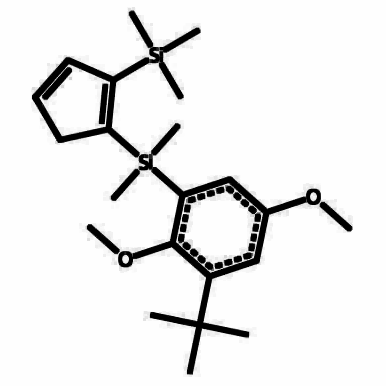 COc1cc(C(C)(C)C)c(OC)c([Si](C)(C)C2=C([Si](C)(C)C)C=CC2)c1